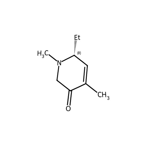 CC[C@@H]1C=C(C)C(=O)CN1C